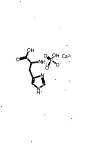 NC(Cc1c[nH]cn1)C(=O)O.O=P([O-])([O-])O.[Ca+2]